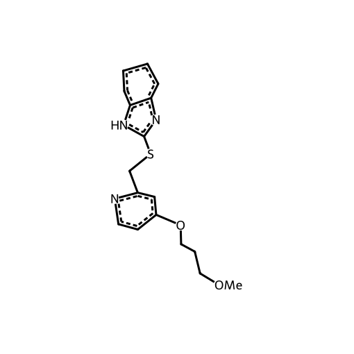 COCCCOc1ccnc(CSc2nc3ccccc3[nH]2)c1